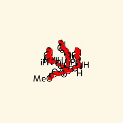 COc1ccc(COC(=O)c2ccc(CNC(=O)c3cc(OCCOCCOCCN4C=C(CN(c5ccc6cc(-c7nc8ccccc8s7)c(=O)oc6c5)C(C)C)NN4)c(OCCOCCOCCN4C=C5CN(c6ccc7cc(-c8nc9ccccc9s8)c(=O)oc7c6)C(C)N5N4)c(OCCOCCOCCN4C=C(CN(c5ccc6cc(-c7nc8ccccc8s7)c(=O)oc6c5)C(C)C)NN4)c3)cc2)cc1